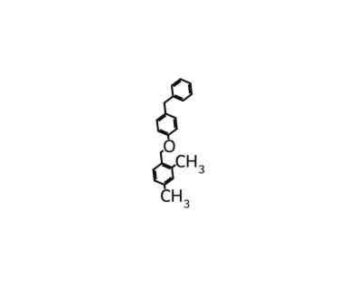 Cc1ccc(COc2ccc(Cc3ccccc3)cc2)c(C)c1